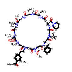 CC[C@H](C)[C@@H]1NC(=O)[C@H](CC(C)C)N(C)C(=O)[C@@H](CC(C)C)NC(=O)C[C@@H](C(=O)N2CCCCC2)NC(=O)[C@H](CC(C)C)N(C)C(=O)[C@H](Cc2ccccc2)N(C)C(=O)[C@H](COC(C)(C)C)NC(=O)CN(CCc2ccc(C(=O)NC)c(OC)c2)C(=O)CN(C)C(=O)[C@H]([C@@H](C)O)NC(=O)[C@H](CC(C)C)N(C)C1=O